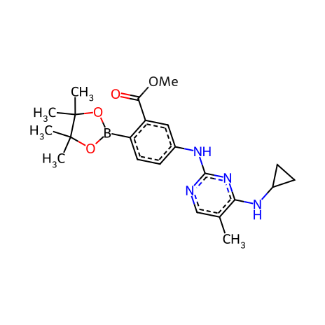 COC(=O)c1cc(Nc2ncc(C)c(NC3CC3)n2)ccc1B1OC(C)(C)C(C)(C)O1